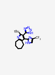 CC(C)(C)c1nc2c(c(-c3nc(C(F)(F)F)c[nH]3)c1-c1nnn[nH]1)CCCCC2